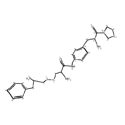 NC(CSSCC(N)C(=O)Nc1ccc(CC(N)C(=O)N2CCSC2)cc1)Cc1ccccc1